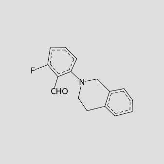 O=Cc1c(F)cccc1N1CCc2ccccc2C1